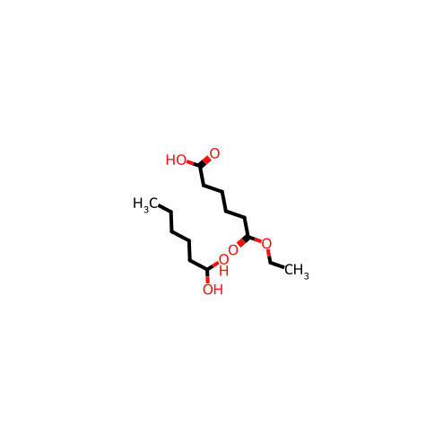 CCCCCC(O)O.CCOC(=O)CCCCC(=O)O